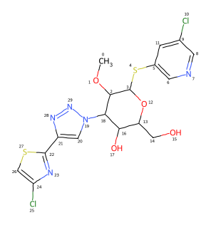 COC1C(Sc2cncc(Cl)c2)OC(CO)C(O)C1n1cc(-c2nc(Cl)cs2)nn1